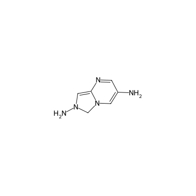 NC1=CN2CN(N)C=C2N=C1